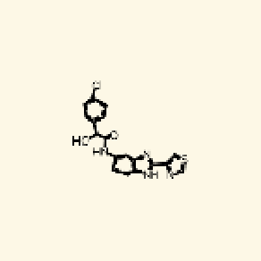 O=C(Nc1ccc2[nH]c(-c3cscn3)nc2c1)C(O)c1ccc(Cl)cc1